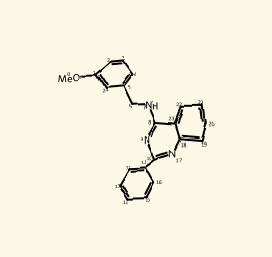 COc1cccc(CNc2nc(-c3ccccc3)nc3ccccc23)c1